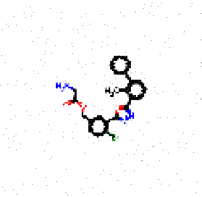 Cc1c(-c2ccccc2)cccc1-c1nnc(-c2cc(COC(=O)CN)ccc2Br)o1